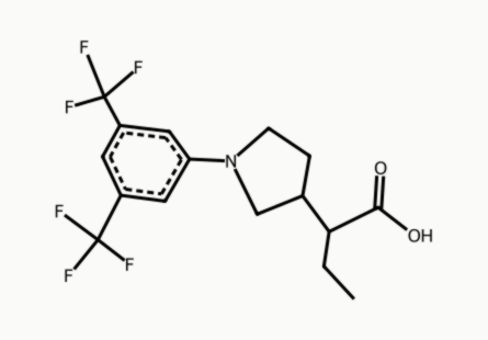 CCC(C(=O)O)C1CCN(c2cc(C(F)(F)F)cc(C(F)(F)F)c2)C1